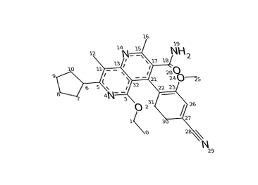 CCOc1nc(C2CCCC2)c(C)c2nc(C)c(C(N)=O)c(C3=C(OC)C=C(C#N)CC3)c12